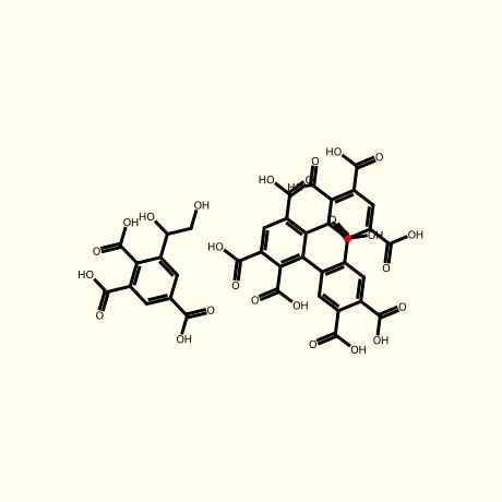 O=C(O)c1cc(C(=O)O)c(C(=O)O)c(-c2c(C(=O)O)cc(C(=O)O)c(C(=O)O)c2-c2cc(C(=O)O)c(C(=O)O)cc2C(=O)O)c1.O=C(O)c1cc(C(=O)O)c(C(=O)O)c(C(O)CO)c1